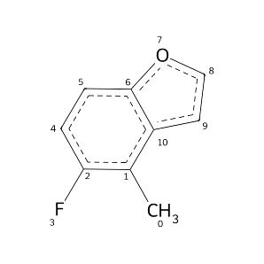 Cc1c(F)ccc2occc12